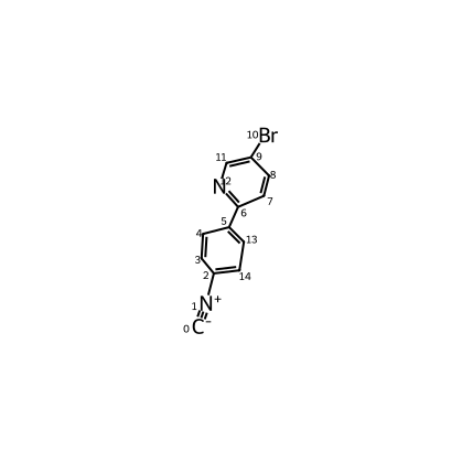 [C-]#[N+]c1ccc(-c2ccc(Br)cn2)cc1